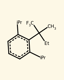 CCC(C)(c1c(C(C)C)cccc1C(C)C)C(F)(F)F